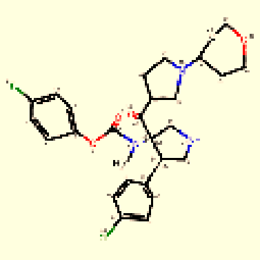 CN(C(=O)Oc1ccc(F)cc1)[C@]1(C(=O)C2CCN(C3CCOCC3)C2)CNC[C@H]1c1ccc(Cl)cc1